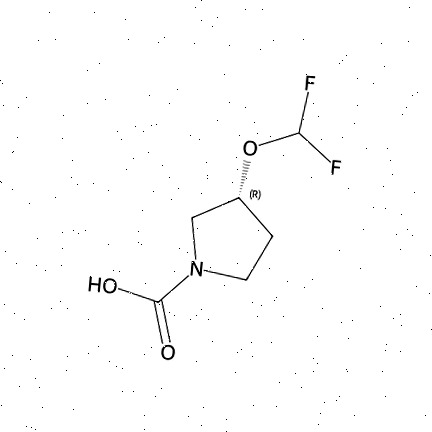 O=C(O)N1CC[C@@H](OC(F)F)C1